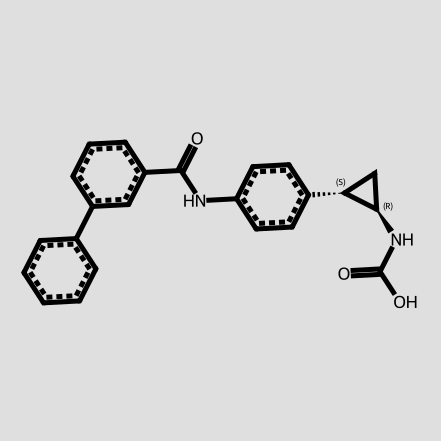 O=C(O)N[C@@H]1C[C@H]1c1ccc(NC(=O)c2cccc(-c3ccccc3)c2)cc1